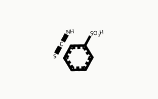 N=C=S.O=S(=O)(O)c1ccccc1